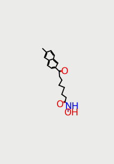 Cc1ccc2cc(C(=O)CCCCCCC(=O)NO)ccc2c1